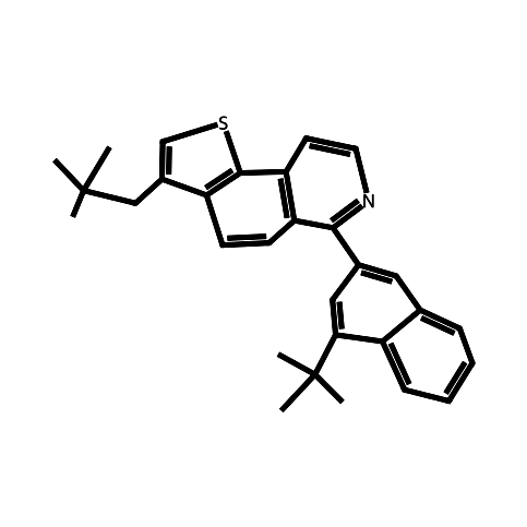 CC(C)(C)Cc1csc2c1ccc1c(-c3cc(C(C)(C)C)c4ccccc4c3)nccc12